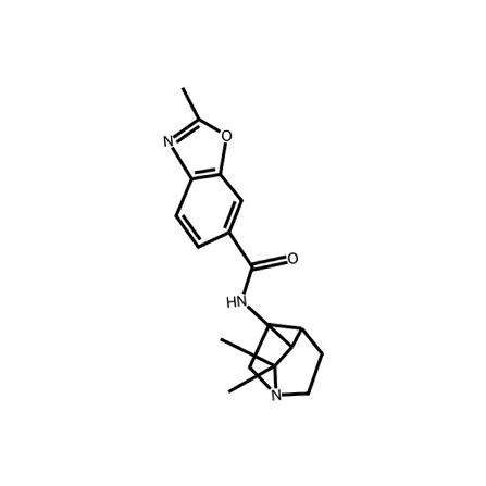 Cc1nc2ccc(C(=O)NC3C4CCN(CC4)C3(C)C)cc2o1